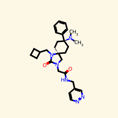 CN(C)[C@]1(c2ccccc2)CC[C@]2(CC1)CN(CC(=O)NCc1ccnnc1)C(=O)N2CC1CCC1